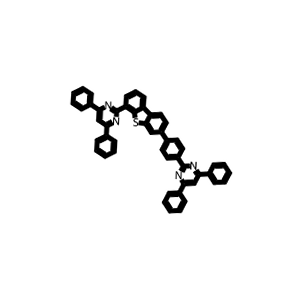 c1ccc(-c2cc(-c3ccccc3)nc(-c3ccc(-c4ccc5c(c4)sc4c(-c6nc(-c7ccccc7)cc(-c7ccccc7)n6)cccc45)cc3)n2)cc1